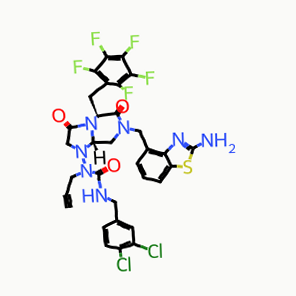 C#CCN(C(=O)NCc1ccc(Cl)c(Cl)c1)N1CC(=O)N2[C@@H](Cc3c(F)c(F)c(F)c(F)c3F)C(=O)N(Cc3cccc4sc(N)nc34)C[C@@H]21